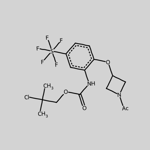 CC(=O)N1CC(Oc2ccc(S(F)(F)(F)(F)F)cc2NC(=O)OCC(C)(C)Cl)C1